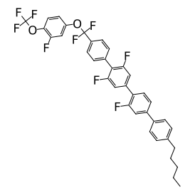 CCCCCc1ccc(-c2ccc(-c3cc(F)c(-c4ccc(C(F)(F)Oc5ccc(OC(F)(F)F)c(F)c5)cc4)c(F)c3)c(F)c2)cc1